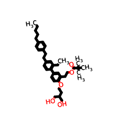 CCCCCc1ccc(CCc2ccc(-c3ccc(OCCC(CO)CO)c(CCOC(=O)C(C)(C)C)c3)c(CC)c2)cc1